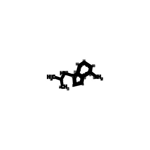 CC(C)Nn1ccc2c(N)cccc21